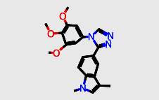 COc1cc(-n2cnnc2-c2ccc3c(c2)c(C)cn3C)cc(OC)c1OC